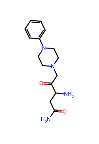 NC(=O)CC(N)C(=O)CN1CCN(c2ccccc2)CC1